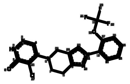 O=c1[nH]ncc(N2CCc3nn(-c4ccccc4OC(F)(F)F)cc3C2)c1Cl